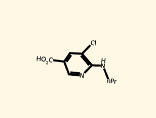 CCCNc1ncc(C(=O)O)cc1Cl